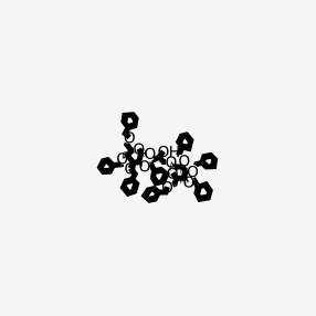 OC(CO[C@H]1OC(COCc2ccccc2)[C@@H](OCc2ccccc2)[C@@H](OCc2ccccc2)C1OCc1ccccc1)CO[C@H]1OC(COCc2ccccc2)[C@@H](OCc2ccccc2)C(OCc2ccccc2)[C@H]1OCc1ccccc1